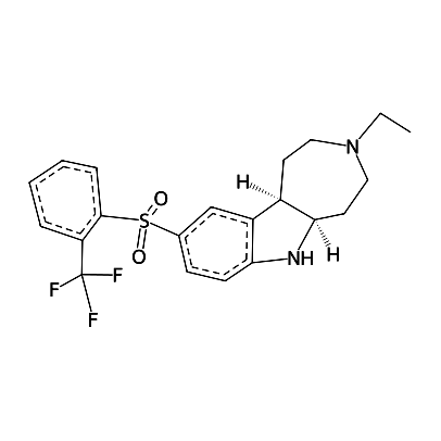 CCN1CC[C@@H]2c3cc(S(=O)(=O)c4ccccc4C(F)(F)F)ccc3N[C@@H]2CC1